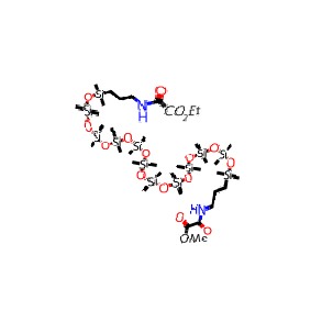 CCOC(=O)C(=O)NCCC[Si](C)(C)O[Si](C)(C)O[Si](C)(C)O[Si](C)(C)O[Si](C)(C)O[Si](C)(C)O[Si](C)(C)O[Si](C)(C)O[Si](C)(C)O[Si](C)(C)O[Si](C)(C)O[Si](C)(C)CCCNC(=O)C(=O)OC